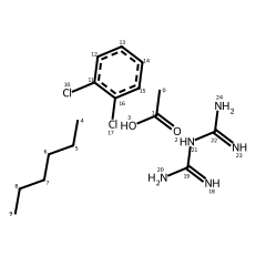 CC(=O)O.CCCCCC.Clc1ccccc1Cl.N=C(N)NC(=N)N